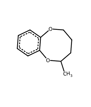 CC1CCCOc2ccccc2O1